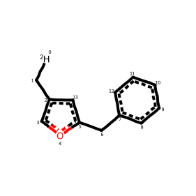 [2H][CH]c1coc(Cc2ccccc2)c1